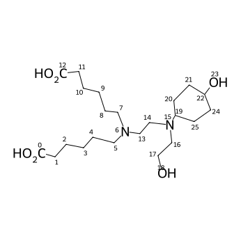 O=C(O)CCCCCN(CCCCCC(=O)O)CCN(CCO)C1CCC(O)CC1